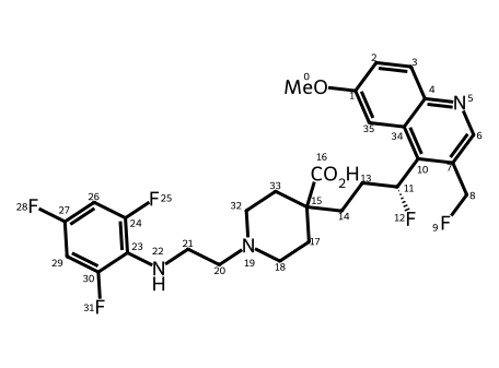 COc1ccc2ncc(CF)c([C@H](F)CCC3(C(=O)O)CCN(CCNc4c(F)cc(F)cc4F)CC3)c2c1